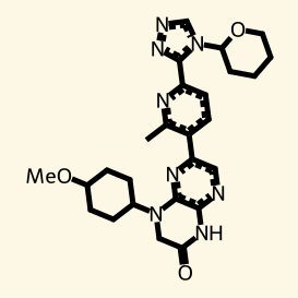 COC1CCC(N2CC(=O)Nc3ncc(-c4ccc(-c5nncn5C5CCCCO5)nc4C)nc32)CC1